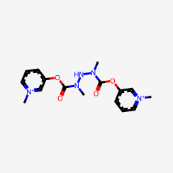 CN(NN(C)C(=O)Oc1ccc[n+](C)c1)C(=O)Oc1ccc[n+](C)c1